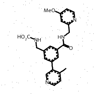 COc1ccnc(CNC(=O)c2cc(CNC(=O)O)cc(-c3cnccc3C)c2)c1